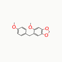 COc1ccc(Cc2cc3c(cc2OC)OCO3)cc1